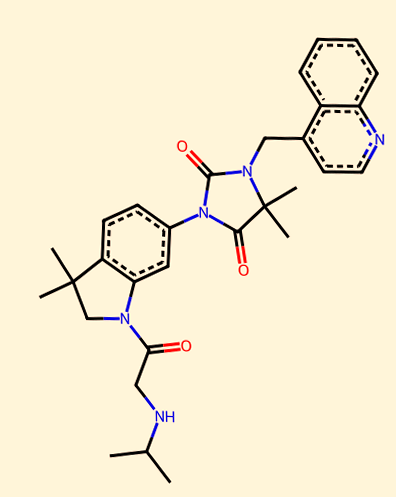 CC(C)NCC(=O)N1CC(C)(C)c2ccc(N3C(=O)N(Cc4ccnc5ccccc45)C(C)(C)C3=O)cc21